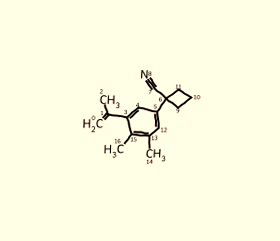 C=C(C)c1cc(C2(C#N)CCC2)cc(C)c1C